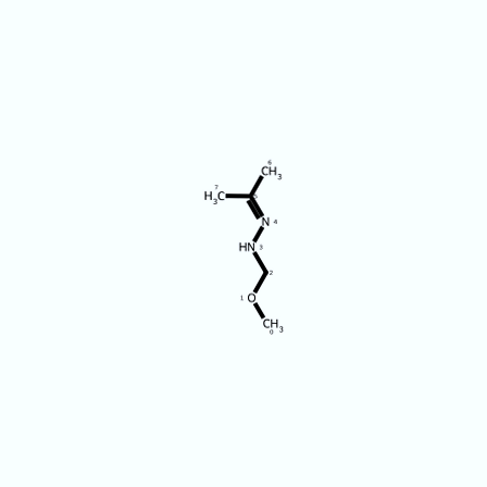 COCNN=C(C)C